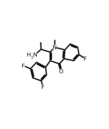 CC(N)c1c(-c2cc(F)cc(F)c2)c(=O)c2cc(F)ccc2n1C